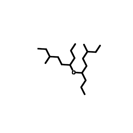 CCCC(CCC(C)CC)OC(CCC)CCC(C)CC